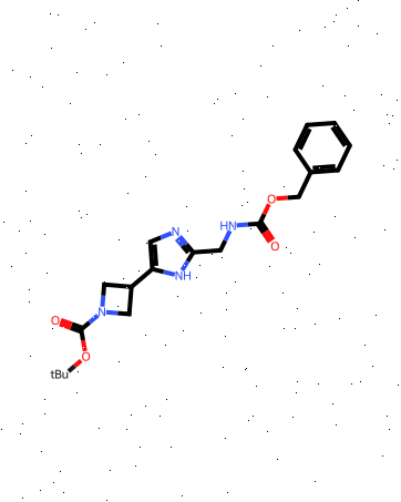 CC(C)(C)OC(=O)N1CC(c2cnc(CNC(=O)OCc3ccccc3)[nH]2)C1